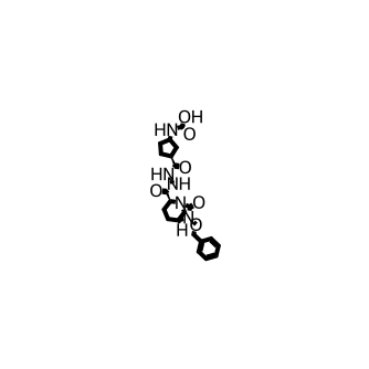 O=C(O)NC1CC[C@H](C(=O)NNC(=O)[C@@H]2CC[C@@H]3CN2C(=O)N3OCc2ccccc2)C1